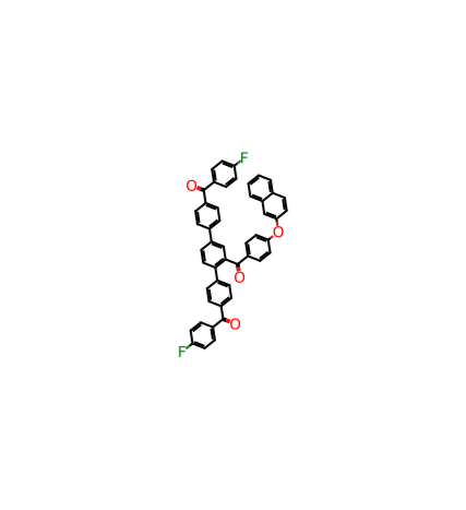 O=C(c1ccc(F)cc1)c1ccc(-c2ccc(-c3ccc(C(=O)c4ccc(F)cc4)cc3)c(C(=O)c3ccc(Oc4ccc5ccccc5c4)cc3)c2)cc1